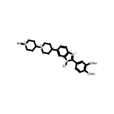 CCn1c(-c2ccc(OC)c(OC)c2)nc2ccc(C3CCN(C4CCN(C(C)C)CC4)CC3)cc21